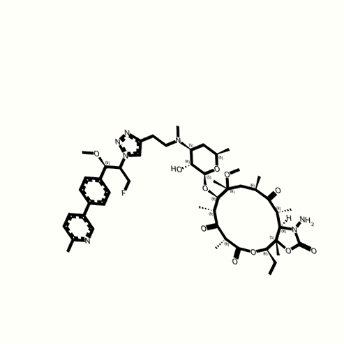 CC[C@H]1OC(=O)[C@H](C)C(=O)[C@H](C)[C@@H](O[C@@H]2O[C@H](C)C[C@H](N(C)CCc3cn(C(CF)[C@H](OC)c4ccc(-c5ccc(C)nc5)cc4)nn3)[C@H]2O)[C@](C)(OC)C[C@@H](C)C(=O)[C@H](C)[C@H]2N(N)C(=O)O[C@]12C